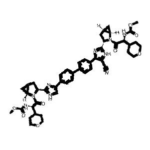 COC(=O)N[C@H](C(=O)N1[C@@H]2CC2C[C@H]1c1nc(-c2ccc(-c3ccc(-c4nc([C@@H]5C[C@H]6C[C@H]6N5C(=O)[C@@H](NC(=O)OC)C5CCOCC5)[nH]c4C#N)cc3)cc2)c[nH]1)C1CCOCC1